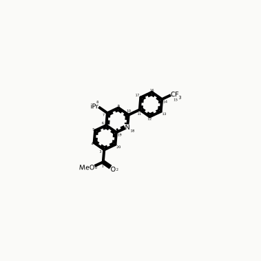 COC(=O)c1ccc2c(C(C)C)cc(-c3ccc(C(F)(F)F)cc3)nc2c1